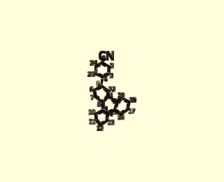 N#Cc1ccc(-c2ccc3c4ccccc4c4ccccc4c3c2)cc1